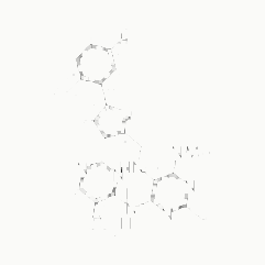 CNc1nc(C)nc(Nc2ncncc2C(=O)O)c1NCc1ccc(-c2cc(Cl)ccc2Cl)o1